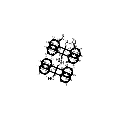 OC(c1ccccc1)(c1ccccc1)C(O)(c1ccccc1)c1ccccc1.OC(c1ccccc1)(c1ccccc1)C(O)(c1ccccc1Cl)c1ccccc1Cl